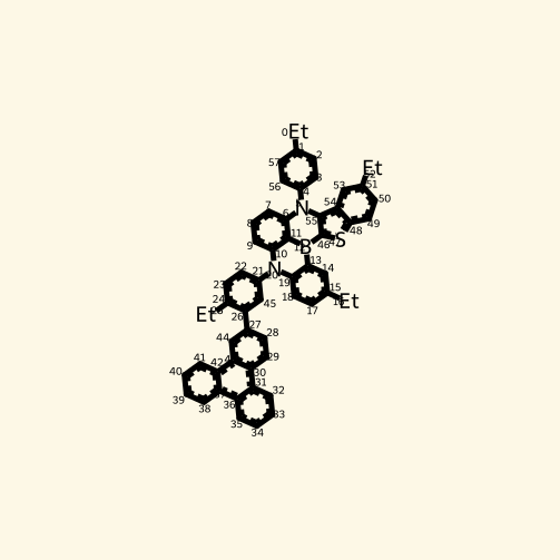 CCc1ccc(N2c3cccc4c3B(c3cc(CC)ccc3N4c3ccc(CC)c(-c4ccc5c6ccccc6c6ccccc6c5c4)c3)c3sc4ccc(CC)cc4c32)cc1